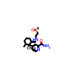 COC1(c2ccnc(C(N)=O)c2)/C(=C/NCC[S+](C)[O-])CCCC1C